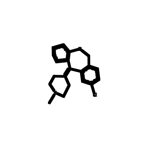 CN1CCC(=C2c3cc(Cl)ccc3COc3ccccc32)CC1